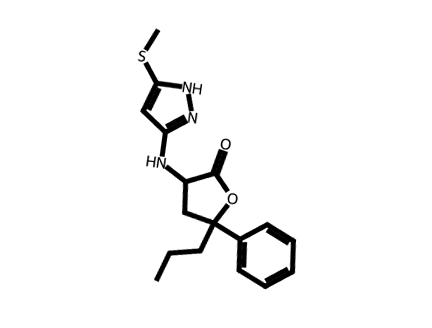 CCCC1(c2ccccc2)CC(Nc2cc(SC)[nH]n2)C(=O)O1